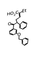 CCC(=CCC(C(=O)c1cccc(OCc2ccccc2)c1)c1ccccc1)C(=O)O